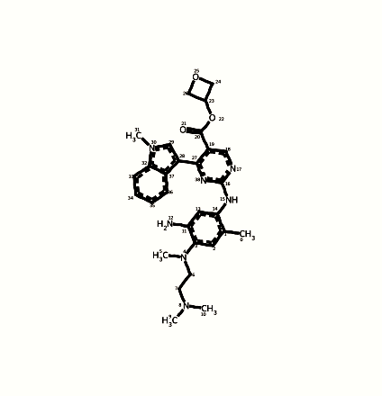 Cc1cc(N(C)CCN(C)C)c(N)cc1Nc1ncc(C(=O)OC2COC2)c(-c2cn(C)c3ccccc23)n1